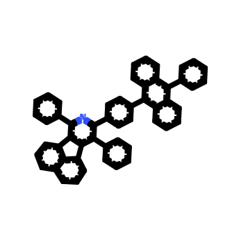 c1ccc(-c2nc(-c3ccc(-c4c5ccccc5c(-c5ccccc5)c5ccccc45)cc3)c(-c3ccccc3)c3c2-c2cccc4cccc-3c24)cc1